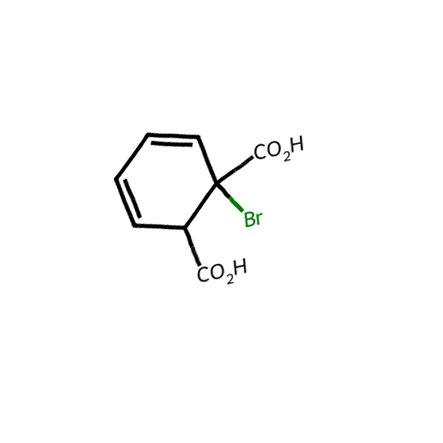 O=C(O)C1C=CC=CC1(Br)C(=O)O